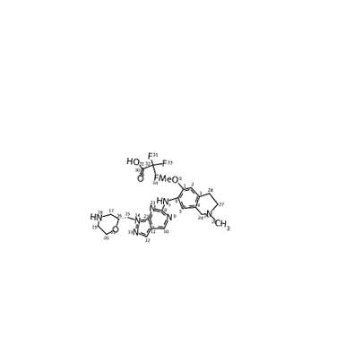 COc1cc2c(cc1Nc1ncc3cnn(C[C@H]4CNCCO4)c3n1)CN(C)CC2.O=C(O)C(F)(F)F